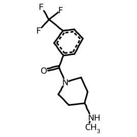 CNC1CCN(C(=O)c2cccc(C(F)(F)F)c2)CC1